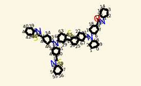 c1ccc(N(c2ccc(-c3nc4ccccc4o3)cc2)c2ccc3c(ccc4c5cc(N(c6ccc(-c7nc8ccccc8s7)cc6)c6ccc(-c7nc8ccccc8s7)cc6)ccc5sc34)c2)cc1